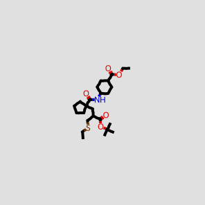 CCOC(=O)C1CCC(NC(=O)C2(CC(CSCC)C(=O)OC(C)(C)C)CCCC2)CC1